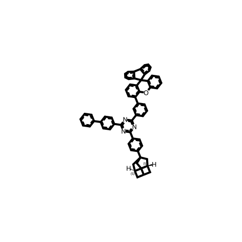 c1ccc(-c2ccc(-c3nc(-c4ccc(C56C[C@@H]7CC8C[C@@H](C5)C87C6)cc4)nc(-c4cccc(-c5cccc6c5Oc5ccccc5C65c6ccccc6-c6ccccc65)c4)n3)cc2)cc1